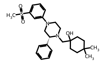 CC1(C)CCC(O)(CN2CCN(c3cccc(S(C)(=O)=O)c3)C[C@H]2c2ccccc2)CC1